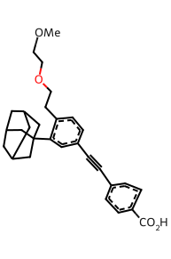 COCCOCCc1ccc(C#Cc2ccc(C(=O)O)cc2)cc1C12CC3CC(CC(C3)C1)C2